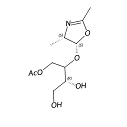 CC(=O)OCC(O[C@H]1OC(C)=N[C@H]1C)[C@H](O)CO